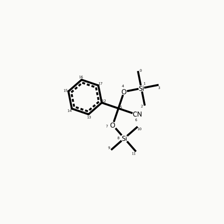 C[Si](C)(C)OC(C#N)(O[Si](C)(C)C)c1ccccc1